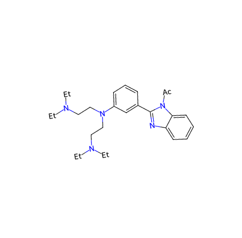 CCN(CC)CCN(CCN(CC)CC)c1cccc(-c2nc3ccccc3n2C(C)=O)c1